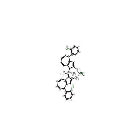 CC1=CC2=C(C=CC=CC2c2ccccc2Cl)[CH]1[Zr+2]([CH3])([CH3])[CH]1C(C)=CC2=C1C=CC=CC2c1ccccc1Cl.[Cl-].[Cl-].[SiH4]